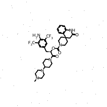 CN1CCN(C2CCN(C(=O)[C@@H](Cc3cc(C(F)(F)F)c(N)c(C(F)(F)F)c3)OC(=O)N3CCC4(CC3)CC(=O)Nc3ccccc34)CC2)CC1